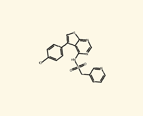 O=S(=O)(Cc1cccnc1)Nc1ncnc2scc(-c3ccc(Cl)cc3)c12